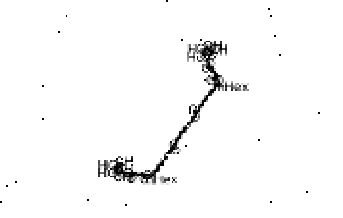 CCCCCC[C@H](CCCCCCCCCCC(=O)OCCCCCCCCCCOC(=O)CCCCCCCCCC[C@@H](CCCCCC)OC(=O)CCCC(=O)OCC1OC(O)C(O)[C@@H](O)[C@H]1O)OC(=O)CCCC(=O)OCC1OC(O)C(O)[C@@H](O)[C@H]1O